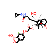 C[C@@H]1CC[C@@]23CCC(=O)[C@H]2[C@]1(C)[C@H](OC(=O)COc1ccc2c(c1F)B(O)OC2)C[C@@](C)(CCC(=O)NC1CC1)[C@@H](O)[C@@H]3C